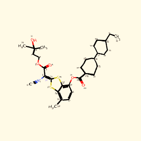 [C-]#[N+]/C(C(=O)OCCC(C)(C)O)=C1\Sc2c(C)ccc(OC(=O)C3CCC(C4CCC(CC)CC4)CC3)c2S1